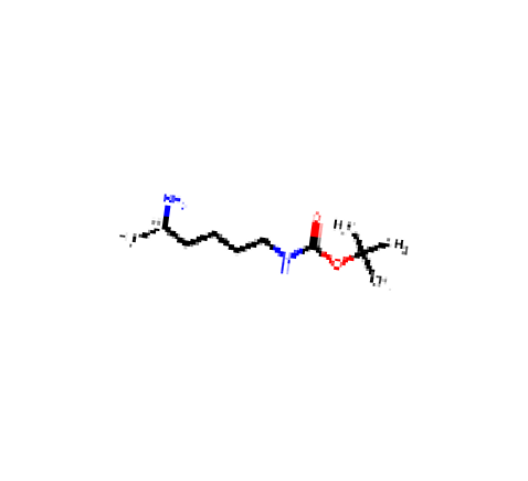 C[C@@H](N)CCCCNC(=O)OC(C)(C)C